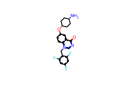 N[C@H]1CC[C@@H](Oc2ccc3c(c2)c(=O)ncn3Cc2c(F)cc(F)cc2F)CC1